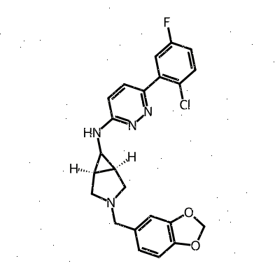 Fc1ccc(Cl)c(-c2ccc(NC3[C@H]4CN(Cc5ccc6c(c5)OCO6)C[C@@H]34)nn2)c1